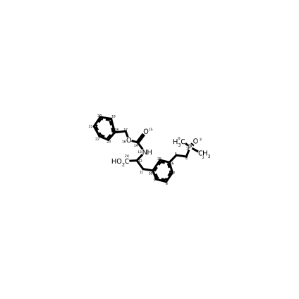 CP(C)(=O)CCc1cccc(CC(NC(=O)OCc2ccccc2)C(=O)O)c1